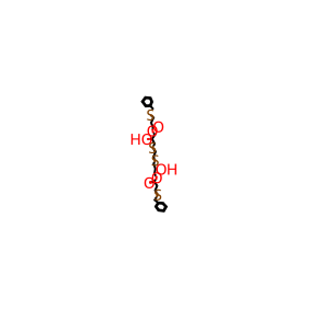 O=C(CCSCc1ccccc1)OCC(O)CSCCSCC(O)COC(=O)CCSCc1ccccc1